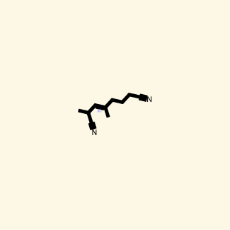 C/C(=C\C(C)C#N)CCCC#N